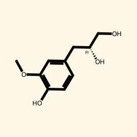 COc1cc(C[C@@H](O)CO)ccc1O